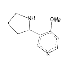 COc1ccncc1C1CCCN1